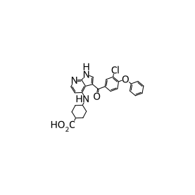 O=C(c1ccc(Oc2ccccc2)c(Cl)c1)c1c[nH]c2nccc(NC3CCC(C(=O)O)CC3)c12